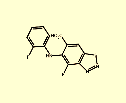 O=C(O)c1cc2snnc2c(F)c1Nc1ccccc1F